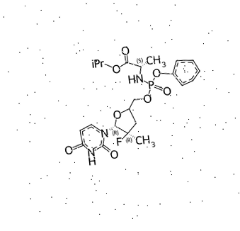 CC(C)OC(=O)[C@H](C)NP(=O)(OCC1C[C@@](C)(F)[C@H](n2ccc(=O)[nH]c2=O)O1)Oc1ccccc1